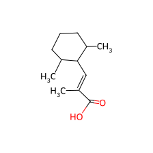 C/C(=C\C1C(C)CCCC1C)C(=O)O